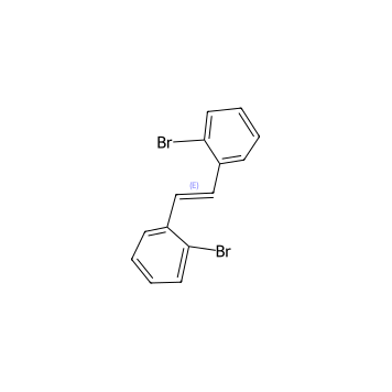 Brc1ccccc1/C=C/c1ccccc1Br